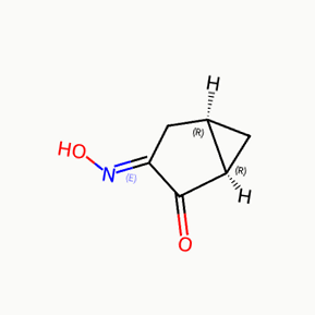 O=C1/C(=N/O)C[C@H]2C[C@@H]12